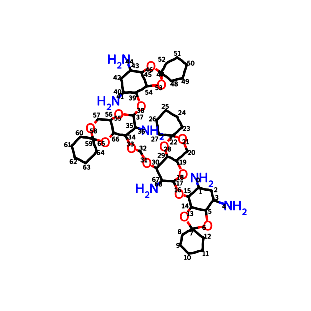 NC1CC(N)C2OC3(CCCCC3)OC2C1OC1OC2COC3(CCCCC3)OC2C(OCOC2C(N)C(OC3C(N)CC(N)C4OC5(CCCCC5)OC34)OC3COC4(CCCCC4)OC32)C1N